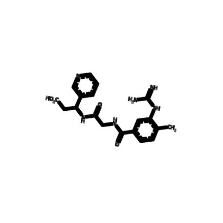 Cc1ccc(C(=O)NCC(=O)NC(CC(=O)O)c2cccnc2)cc1NC(=N)N